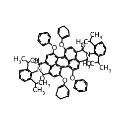 CC(C)c1cccc(C(C)C)c1N1C(=O)c2cc(OC3=CCCC=C3)c3c4c(Oc5ccccc5)cc5c6c(cc(OC7=CCCC=C7)c(c7c(Oc8ccccc8)cc(c2c37)C1=O)c64)C(=O)N(c1c(C(C)C)cccc1C(C)C)C5=O